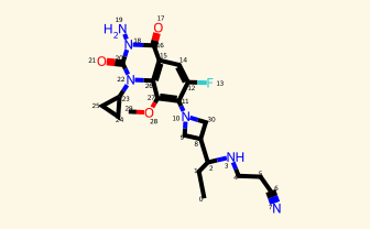 CCC(NCCC#N)C1CN(c2c(F)cc3c(=O)n(N)c(=O)n(C4CC4)c3c2OC)C1